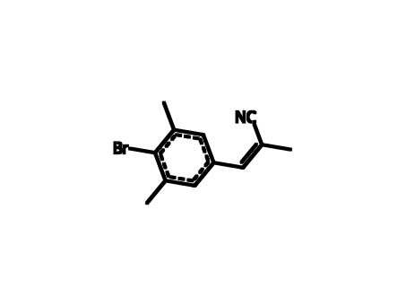 C/C(C#N)=C/c1cc(C)c(Br)c(C)c1